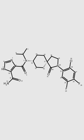 CC(C)N(C(=O)c1nc[nH]c1C(N)=O)[C@H]1CC[C@@]2(CCN(c3cc(F)c(F)cc3Cl)C2=O)CC1